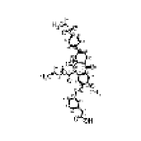 C=CCOC(=O)N1c2cc(OCc3cccc(CC(=O)O)c3)c(OC)cc2C(=O)N2CC=C(c3ccc(S(=O)(=O)NC)cc3)C[C@H]2C1OC